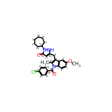 COc1ccc2c(c1)c(Cc1cc(=O)n(C3CCCCCC3)[nH]1)c(C)n2C(=O)c1ccc(Cl)cc1